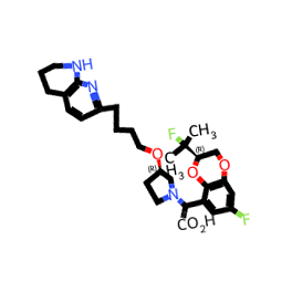 CC(C)(F)[C@H]1COc2cc(F)cc(C(C(=O)O)N3CC[C@@H](OCCCCc4ccc5c(n4)NCCC5)C3)c2O1